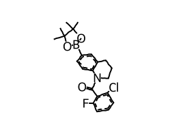 CC1(C)OB(c2ccc3c(c2)CCCN3C(=O)c2c(F)cccc2Cl)OC1(C)C